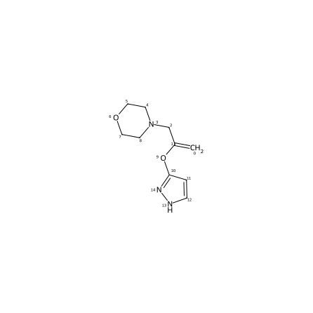 C=C(CN1CCOCC1)Oc1cc[nH]n1